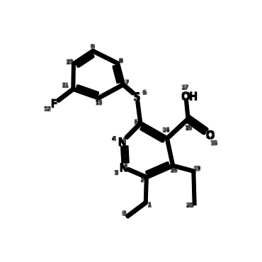 CCc1nnc(Sc2cccc(F)c2)c(C(=O)O)c1CC